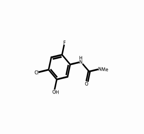 CNC(=O)Nc1cc(O)c(Cl)cc1F